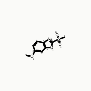 COc1ccc2nc(S(C)(=O)=O)oc2c1